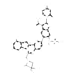 CNC(=O)c1c(-n2ccc(C)cc2=O)oc2cc(N(C)S(C)(=O)=O)c(-c3ccc4nc(CN5CC(C)(C#N)C5)n5c6cccc(F)c6cc5c4n3)cc12